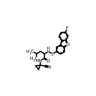 CC(C)CC(NSc1ccc2oc3cc(F)ccc3c2c1)C(=O)NC1(C#N)CC1